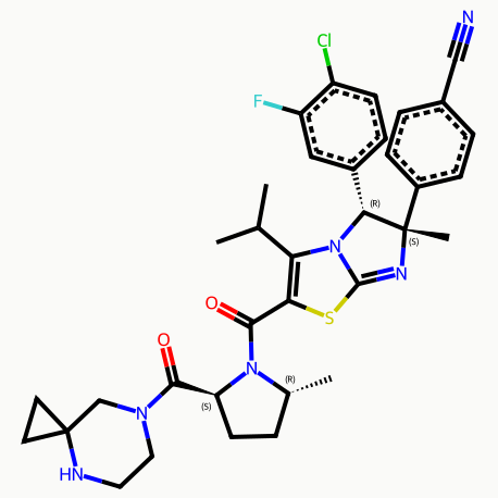 CC(C)C1=C(C(=O)N2[C@H](C)CC[C@H]2C(=O)N2CCNC3(CC3)C2)SC2=N[C@@](C)(c3ccc(C#N)cc3)[C@@H](c3ccc(Cl)c(F)c3)N21